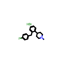 Br.CN1CCC(c2ccccc2Cc2ccc(F)cc2)CC1